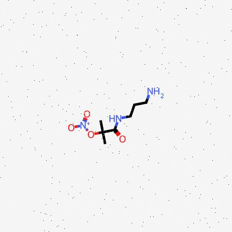 CC(C)(O[N+](=O)[O-])C(=O)NCCCN